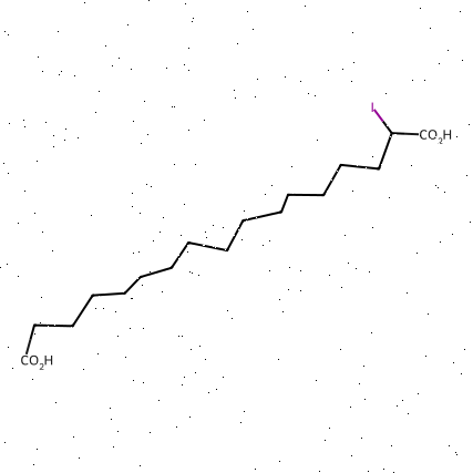 O=C(O)CCCCCCCCCCCCCCC(I)C(=O)O